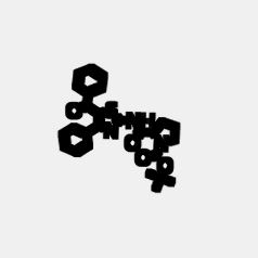 CC(C)(C)OC(=O)N1CCCC1C(=O)Nc1nc(-c2ccccc2)c(C(=O)c2ccccc2)s1